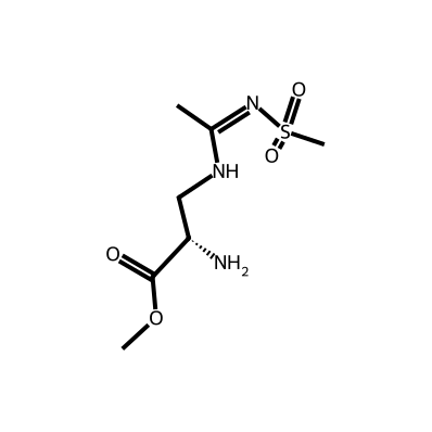 COC(=O)[C@@H](N)CN/C(C)=N\S(C)(=O)=O